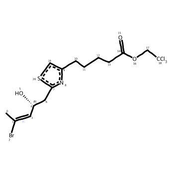 C/C(Br)=C\[C@H](O)Cc1nc(CCCCC(=O)OCC(Cl)(Cl)Cl)cs1